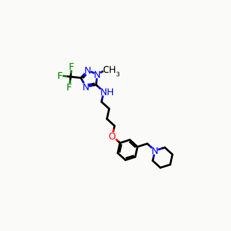 Cn1nc(C(F)(F)F)nc1NCCCCOc1cccc(CN2CCCCC2)c1